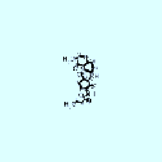 CCCS(=O)(=O)Nc1ccc(Cl)c(Nc2ccc3ncn(C)c(=O)c3c2)c1F